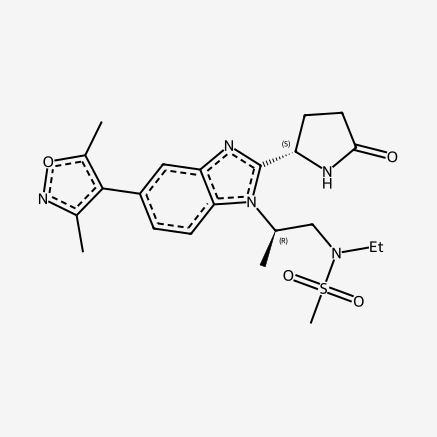 CCN(C[C@@H](C)n1c([C@@H]2CCC(=O)N2)nc2cc(-c3c(C)noc3C)ccc21)S(C)(=O)=O